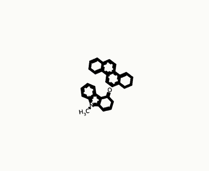 C1=Cc2ccc3c4c(ccc3c2=CC1)CCCC=4.Cn1c2c(c3ccccc31)C(=O)CC=C2